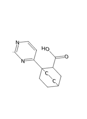 O=C(O)C1CC2CCC1(c1ccn[c]n1)CC2